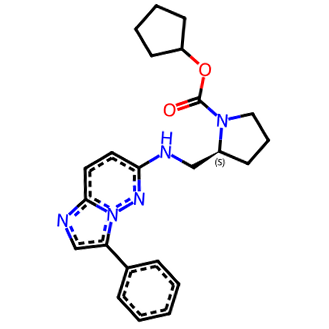 O=C(OC1CCCC1)N1CCC[C@H]1CNc1ccc2ncc(-c3ccccc3)n2n1